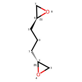 C(C[C@@H]1CO1)C[C@H]1CO1